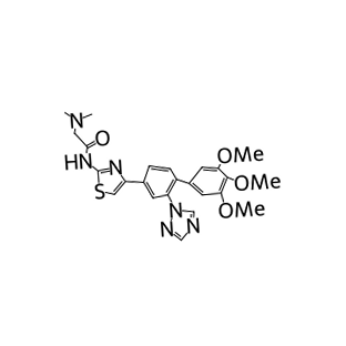 COc1cc(-c2ccc(-c3csc(NC(=O)CN(C)C)n3)cc2-n2cncn2)cc(OC)c1OC